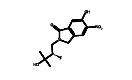 CC(C)(O)[C@@H](F)CN1Cc2cc([N+](=O)[O-])c(O)cc2C1=O